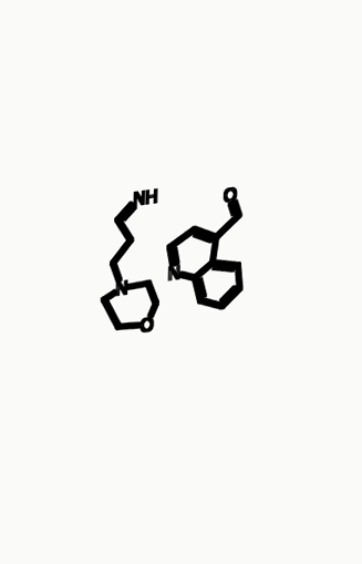 N=CCCN1CCOCC1.O=Cc1ccnc2ccccc12